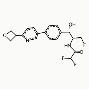 O=C(N[C@H](CF)[C@@H](O)c1ccc(-c2ccc(C3COC3)nc2)cc1)C(F)F